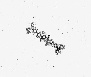 CC1(C)c2cc(-c3ccc(N(c4ccccc4)c4ccccc4)cc3)ccc2-c2c1cc1c(F)c3c(cc1c2F)C(C)(C)c1cc(-c2ccc(N(c4ccccc4)c4ccccc4)cc2)ccc1-3